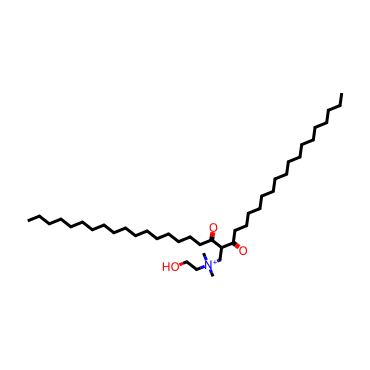 CCCCCCCCCCCCCCCCCC(=O)C(C[N+](C)(C)CCO)C(=O)CCCCCCCCCCCCCCCCC